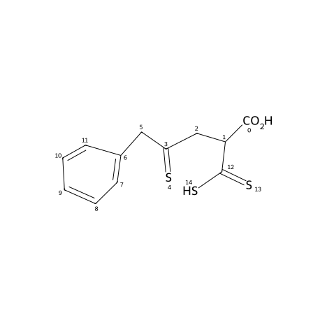 O=C(O)C(CC(=S)Cc1ccccc1)C(=S)S